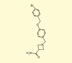 NC(=O)C1CN(Cc2ccc(OCc3ccc(Br)cc3)cc2)C1